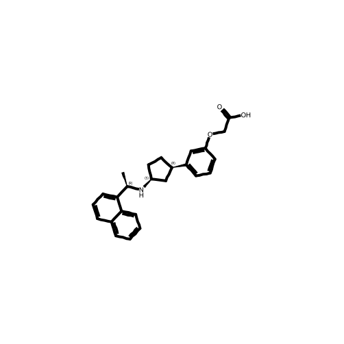 C[C@@H](N[C@H]1CC[C@@H](c2cccc(OCC(=O)O)c2)C1)c1cccc2ccccc12